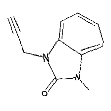 C#CCn1c(=O)n(C)c2ccccc21